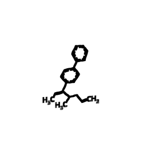 C=CCC(C)/C(=C\C)c1ccc(-c2ccccc2)cc1